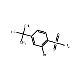 CC(C)(O)c1ccc(S(N)(=O)=O)c(Br)c1